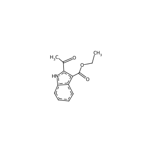 CCOC(=O)c1c(C(C)=O)[nH]c2ccccc12